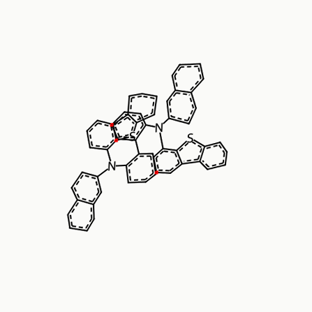 c1ccc(N(c2ccc3ccccc3c2)c2cccc3c2sc2ccccc23)c(-c2ccccc2N(c2ccc3ccccc3c2)c2cccc3c2sc2ccccc23)c1